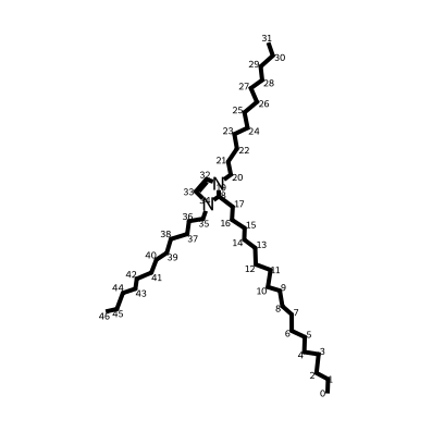 CCCCCCCCCCCCCCCCCCC1N(CCCCCCCCCCCC)C=CN1CCCCCCCCCCCC